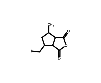 CC1CC(CI)C2C(=O)OC(=O)C12